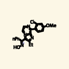 CCC/C(=N\O)c1c(CC)nc2c(-c3ccc(OC)cc3Cl)nccn12